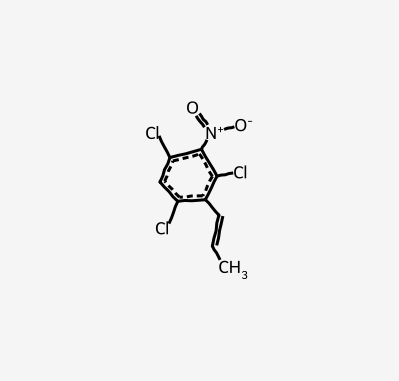 CC=Cc1c(Cl)cc(Cl)c([N+](=O)[O-])c1Cl